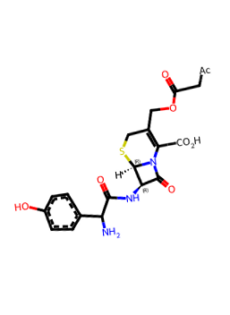 CC(=O)CC(=O)OCC1=C(C(=O)O)N2C(=O)[C@@H](NC(=O)C(N)c3ccc(O)cc3)[C@H]2SC1